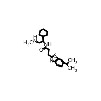 CNCC(NC(=O)CCc1nc2ccc(C(C)C)cc2s1)C1CCCCC1